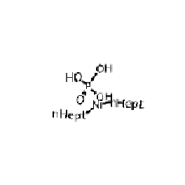 CCCCCC[CH2][Ni][CH2]CCCCCC.O=P(O)(O)O